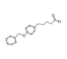 CCC(=O)CCCCc1ccc(OCc2ccccc2)cc1